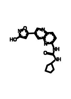 O=C(Nc1ccc2ncc(-c3cc(O)no3)cc2n1)NC1CCCC1